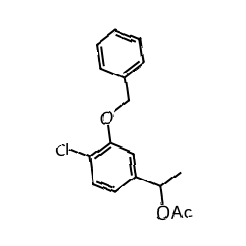 CC(=O)OC(C)c1ccc(Cl)c(OCc2ccccc2)c1